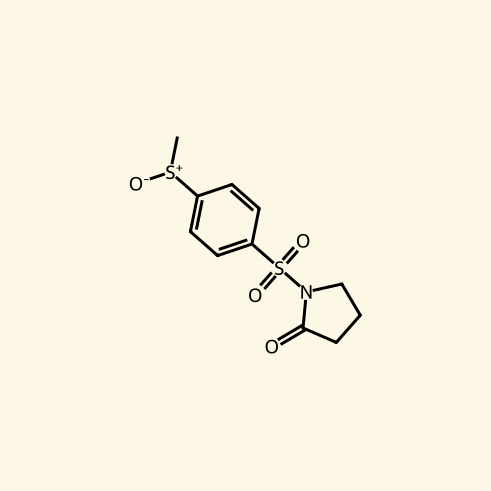 C[S+]([O-])c1ccc(S(=O)(=O)N2CCCC2=O)cc1